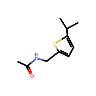 CC(=O)NCc1ccc(C(C)C)s1